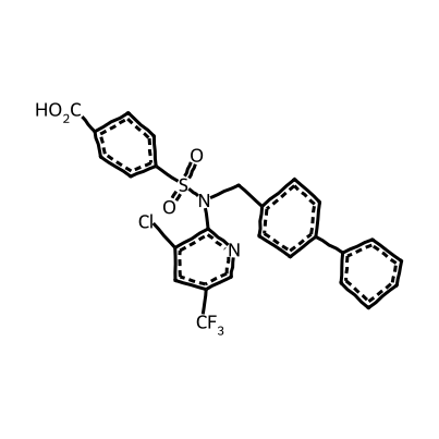 O=C(O)c1ccc(S(=O)(=O)N(Cc2ccc(-c3ccccc3)cc2)c2ncc(C(F)(F)F)cc2Cl)cc1